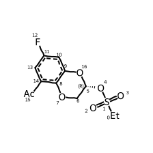 CCS(=O)(=O)O[C@@H]1COc2c(cc(F)cc2C(C)=O)O1